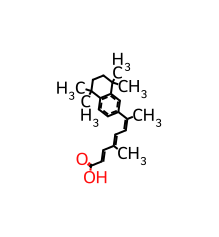 C/C(=C/C=C(C)/C=C/C(=O)O)c1ccc2c(c1)C(C)(C)CCC2(C)C